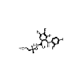 CC(C)(CCO)ONC(=O)c1cc(F)c(F)c(F)c1Nc1ccc(I)cc1F